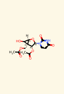 CC(=O)OC[C@]12C(O)[C@H]1O[C@@H](n1ccc(=O)[nH]c1=O)[C@@H]2OC(C)=O